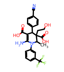 CC1N(c2cccc(C(F)(F)F)c2)C(N)=C(C(=O)O)C(c2ccc(C#N)cc2)C1(CCO)C(=O)O